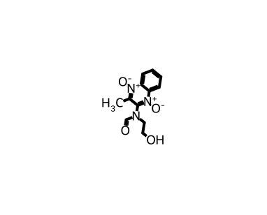 Cc1c(N(C=O)CCO)[n+]([O-])c2ccccc2[n+]1[O-]